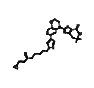 CC1(C)Cc2nc(N3CCOc4ccc(-c5cnn(CCCCCC(=O)/C=C/C6CC6)c5)cc43)sc2C(=O)N1